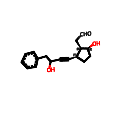 O=CC[C@@H]1[C@H](C#CC(O)Cc2ccccc2)CC[C@@H]1O